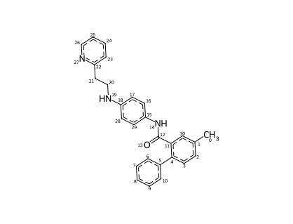 Cc1ccc(-c2ccccc2)c(C(=O)Nc2ccc(NCCc3ccccn3)cc2)c1